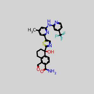 Cc1cc(Nc2cc(C(F)(F)F)ccn2)nc(-c2cnc(C3(O)CCCc4c3ccc(C(N)=O)c4C=O)s2)c1